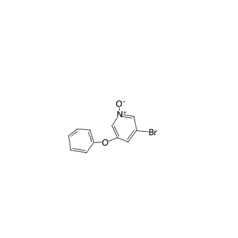 [O-][n+]1cc(Br)cc(Oc2ccccc2)c1